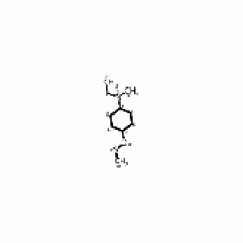 CCN(C)[C@H]1CC[C@@H](OSC)CC1